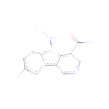 CCCCCCNn1c2ccc(F)cc2c2cncc(C(N)=O)c21